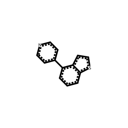 [c]1ccc(-c2ccncc2)c2ccsc12